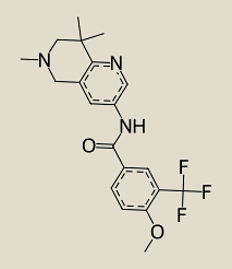 COc1ccc(C(=O)Nc2cnc3c(c2)CN(C)CC3(C)C)cc1C(F)(F)F